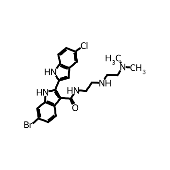 CN(C)CCNCCNC(=O)c1c(-c2cc3cc(Cl)ccc3[nH]2)[nH]c2cc(Br)ccc12